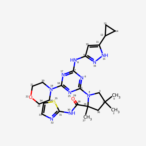 CC1(C)CN(c2nc(Nc3cc(C4CC4)[nH]n3)nc(N3CCOCC3)n2)C(C)(C(=O)Nc2nccs2)C1